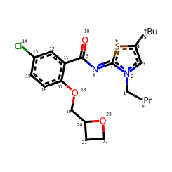 CC(C)Cn1cc(C(C)(C)C)sc1=NC(=O)c1cc(Cl)ccc1OCC1CCO1